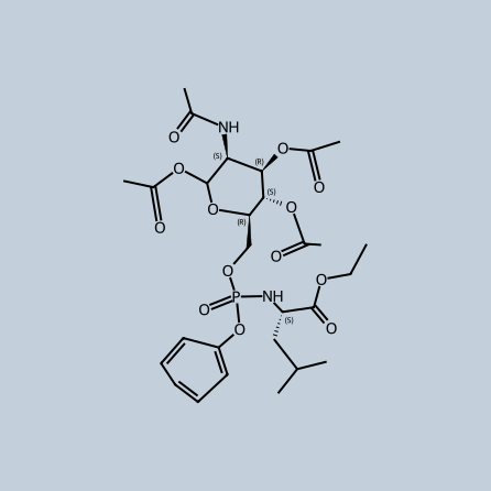 CCOC(=O)[C@H](CC(C)C)NP(=O)(OC[C@H]1OC(OC(C)=O)[C@@H](NC(C)=O)[C@@H](OC(C)=O)[C@@H]1OC(C)=O)Oc1ccccc1